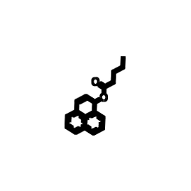 CCCCC(=O)OC1C=Cc2cccc3cccc1c23